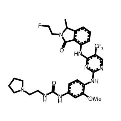 COc1cc(NC(=O)NCCN2CCCC2)ccc1Nc1ncc(C(F)(F)F)c(Nc2cccc3c2C(=O)N(CCF)C3C)n1